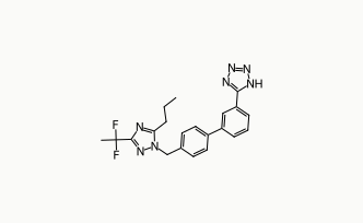 CCCc1nc(C(C)(F)F)nn1Cc1ccc(-c2cccc(-c3nnn[nH]3)c2)cc1